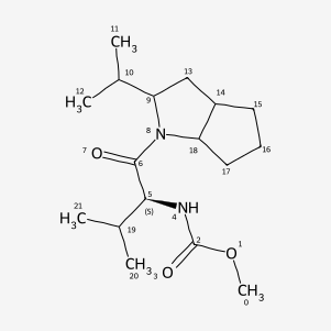 COC(=O)N[C@H](C(=O)N1C(C(C)C)CC2CCCC21)C(C)C